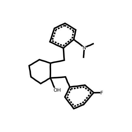 CN(C)c1ccccc1CC1CCCCC1(O)Cc1cccc(F)c1